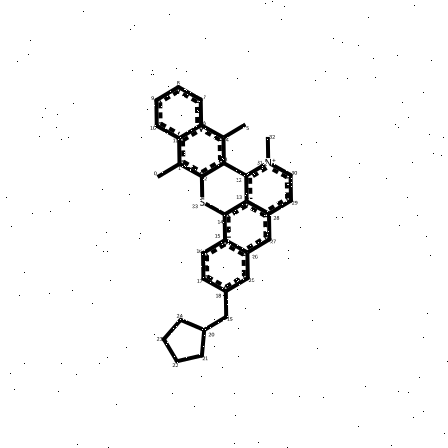 Cc1c2c(c(C)c3ccccc13)-c1c3c(c4ccc(CC5CCCC5)cc4cc3cc[n+]1C)S2